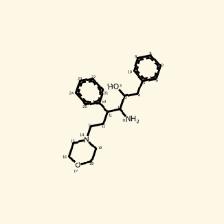 NC(C(O)Cc1ccccc1)C(CCN1CCOCC1)c1ccccc1